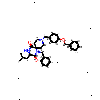 CC(C)CC1NC(=O)C2(CCN(Cc3ccc(OCc4ccccc4)cc3)CC2)N(Cc2ccccc2)C1=O